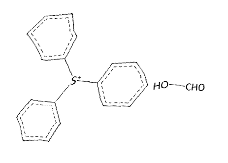 O=[C-]O.c1ccc([S+](c2ccccc2)c2ccccc2)cc1